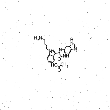 CC(=O)O.NCCCCn1cc(-c2nc3cc4[nH]cnc4cc3[nH]c2=O)c2ccccc21